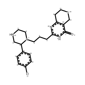 O=c1[nH]c(CCCN2CCNCC2c2ccc(Cl)cc2)nc2c1CSCC2